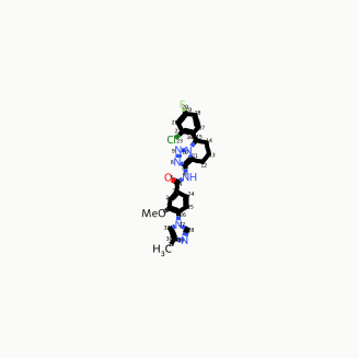 COc1cc(C(=O)Nc2nnn3c2CCCC3c2ccc(F)cc2Cl)ccc1-n1cnc(C)c1